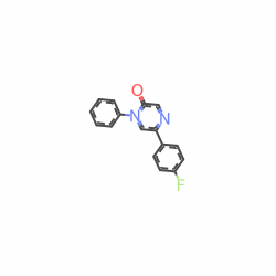 O=c1cnc(-c2ccc(F)cc2)cn1-c1ccccc1